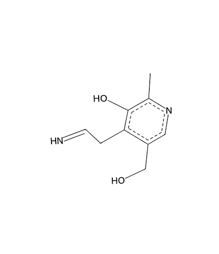 Cc1ncc(CO)c(CC=N)c1O